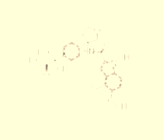 COc1ccc2c(cc(C(=O)NC3(c4ccc(C(C)(C)C(=O)O)cc4)CCOC3)n2C)c1Cl